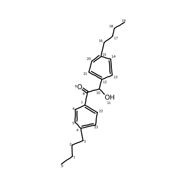 CCCCc1ccc(C(=O)C(O)c2ccc(CCCC)cc2)cc1